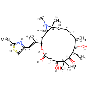 CCCN1[C@H]2C[C@@H](/C(C)=C/c3csc(NC)n3)OC(=O)C[C@H](O)C(C)(C)C(=O)[C@H](C)[C@@H](O)[C@@H](C)CCC[C@]21C